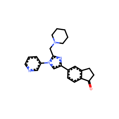 O=C1CCc2cc(-c3cn(-c4cccnc4)c(CN4CCCCC4)n3)ccc21